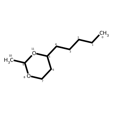 CCCCCC1CCOC(C)O1